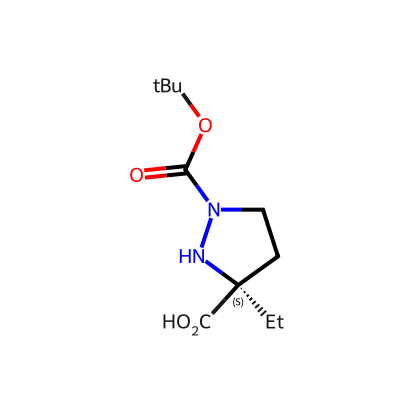 CC[C@@]1(C(=O)O)CCN(C(=O)OC(C)(C)C)N1